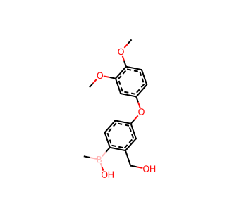 COc1ccc(Oc2ccc(B(C)O)c(CO)c2)cc1OC